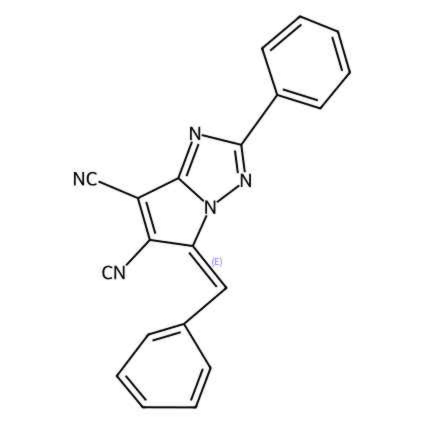 [C-]#[N+]c1c(C#N)c2nc(-c3ccccc3)nn2/c1=C/c1ccccc1